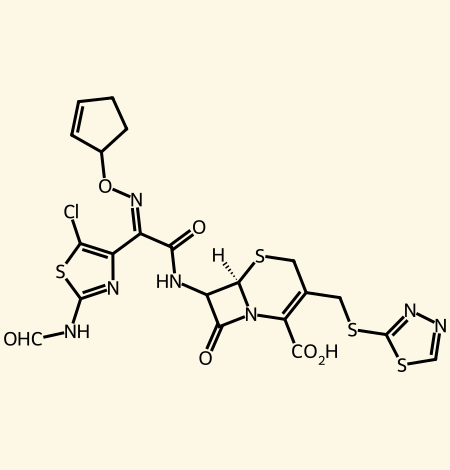 O=CNc1nc(/C(=N\OC2C=CCC2)C(=O)NC2C(=O)N3C(C(=O)O)=C(CSc4nncs4)CS[C@H]23)c(Cl)s1